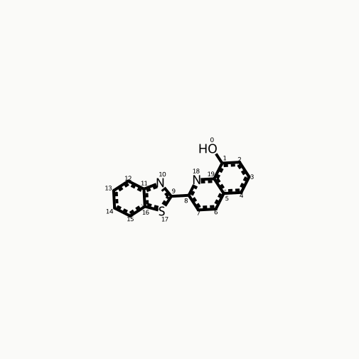 Oc1cccc2ccc(-c3nc4ccccc4s3)nc12